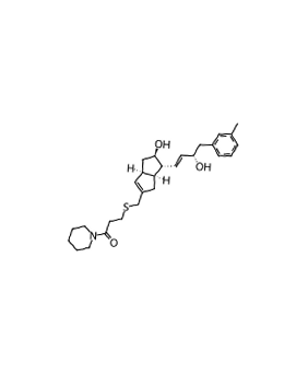 Cc1cccc(C[C@H](O)/C=C/[C@@H]2[C@H]3CC(CSCCC(=O)N4CCCCC4)=C[C@H]3C[C@H]2O)c1